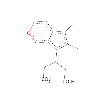 Cc1c2ccocc-2c(C(CC(=O)O)CC(=O)O)c1C